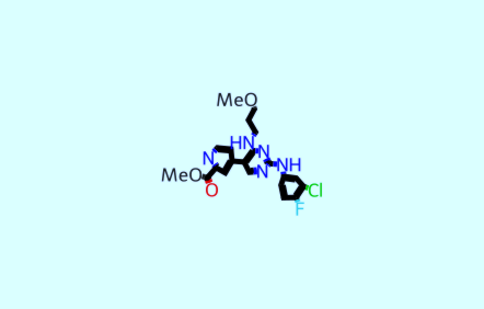 COCCCNc1nc(Nc2ccc(F)c(Cl)c2)ncc1-c1ccnc(C(=O)OC)c1